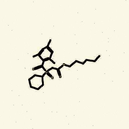 CCCCCCOC(=O)CP(=O)(C(=O)c1c(C)cc(C)cc1C)C1CCCCC1